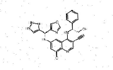 N#Cc1cnc2c(Cl)cc(N[C@H](C3=CNNN3)c3cocn3)cc2c1N[C@@H](CO)c1ccccc1